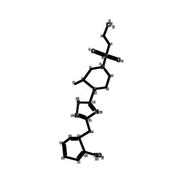 CC1CN(S(=O)(=O)CCC(F)(F)F)CCN1c1nc(Cc2ccccc2[N+](=O)[O-])ns1